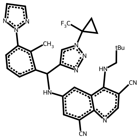 Cc1c(C(Nc2cc(C#N)c3ncc(C#N)c(NCC(C)(C)C)c3c2)c2cn(C3(C(F)(F)F)CC3)nn2)cccc1-n1nccn1